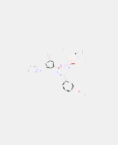 COc1cccc(C(CNC(=O)OC(C)(C)C)NC(=O)c2cc(Br)cc(CN3CCCC3)c2)c1